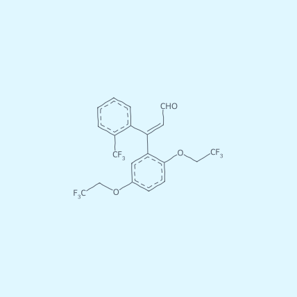 O=CC=C(c1cc(OCC(F)(F)F)ccc1OCC(F)(F)F)c1ccccc1C(F)(F)F